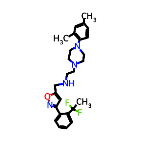 Cc1ccc(N2CCN(CCNCc3cc(-c4ccccc4C(C)(F)F)no3)CC2)c(C)c1